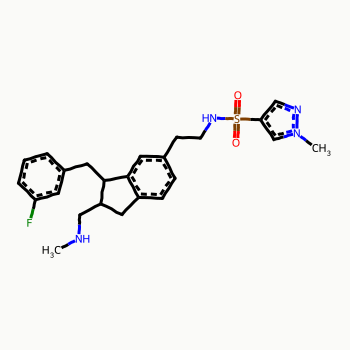 CNCC1Cc2ccc(CCNS(=O)(=O)c3cnn(C)c3)cc2C1Cc1cccc(F)c1